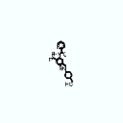 O=C(Nc1cc2cn(C3CCC(CO)CC3)nc2cc1C(F)F)c1ccccn1